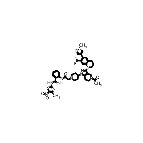 CC(=O)N1CCc2c(c(N3CCCc4cc(-c5cnn(C)c5)c(C(F)F)cc43)nn2C2CCN(CC(=O)Nc3ccccc3C(=O)Nc3nc(C)c([N+](=O)[O-])s3)CC2)C1